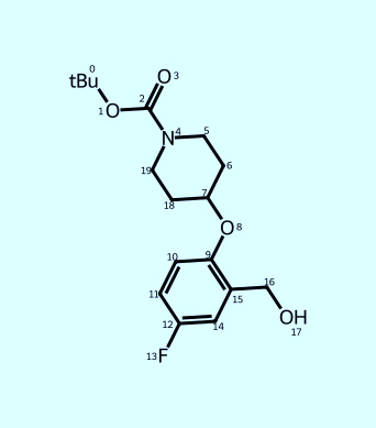 CC(C)(C)OC(=O)N1CCC(Oc2ccc(F)cc2CO)CC1